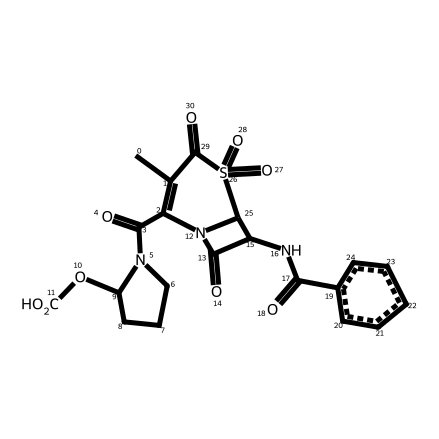 CC1=C(C(=O)N2CCCC2OC(=O)O)N2C(=O)C(NC(=O)c3ccccc3)C2S(=O)(=O)C1=O